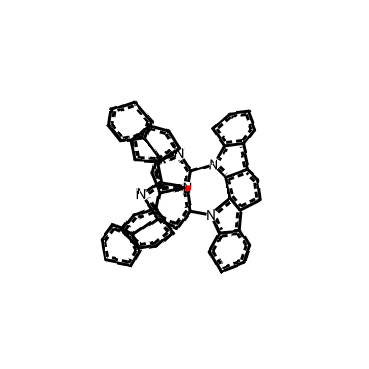 c1ccc(-c2cc(-n3c4ccccc4c4ccc5c6ccccc6n(-c6nc(-c7ccccc7)cc(-c7ccccc7)n6)c5c43)cc(-c3ccccc3)n2)cc1